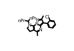 CCCC(CCC)N1CCc2c(C)nc3c(-c4ccccc4Cl)c(C)nn3c21